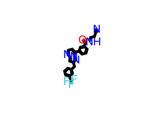 N#CCCNC(=O)c1cccc(-c2ccnc3cc(Cc4cccc(C(F)(F)F)c4)nn23)c1